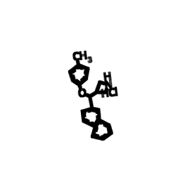 Cc1ccc(OC(c2ccc3ccccc3c2)C2CNC2)cc1.Cl